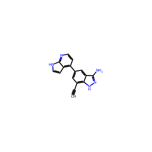 C#Cc1cc(-c2ccnc3[nH]ccc23)cc2c(N)n[nH]c12